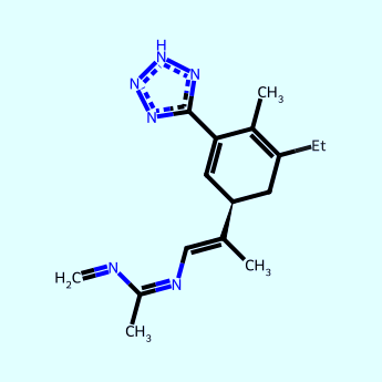 C=N/C(C)=N\C=C(/C)[C@H]1C=C(c2nn[nH]n2)C(C)=C(CC)C1